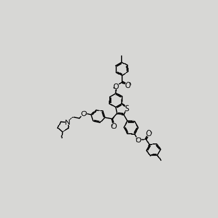 Cc1ccc(C(=O)Oc2ccc(-c3sc4cc(OC(=O)c5ccc(C)cc5)ccc4c3C(=O)c3ccc(OCCN4CCC(C)C4)cc3)cc2)cc1